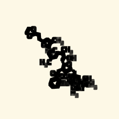 C=C([C@H](C)C[C@@H](C)CC[C@@H]1O[C@@H](CCC2OCCO2)CC1=C)[C@H](O)C[C@@H]1O[C@H](CC(CO[Si](C)(C)C(C)(C)C)O[Si](C)(C)C(C)(C)C)[C@H](OC)[C@H]1CS(=O)(=O)c1ccccc1